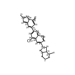 CN1CCCC2CN(c3cnc4nc(-c5cc(F)c6nn(C)cc6c5)cc(Cl)c4c3)CC21